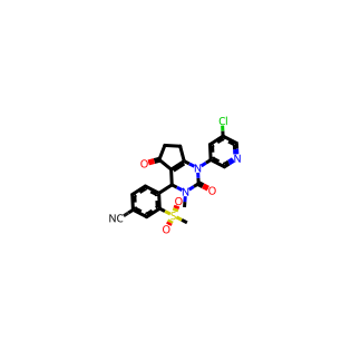 CN1C(=O)N(c2cncc(Cl)c2)C2=C(C(=O)CC2)C1c1ccc(C#N)cc1S(C)(=O)=O